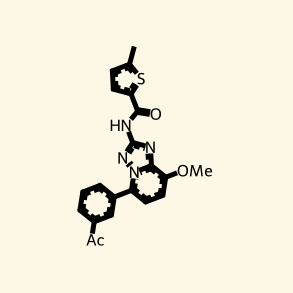 COc1ccc(-c2cccc(C(C)=O)c2)n2nc(NC(=O)c3ccc(C)s3)nc12